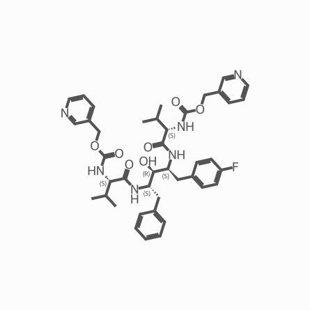 CC(C)[C@H](NC(=O)OCc1cccnc1)C(=O)N[C@@H](Cc1ccccc1)[C@@H](O)[C@H](Cc1ccc(F)cc1)NC(=O)[C@@H](NC(=O)OCc1cccnc1)C(C)C